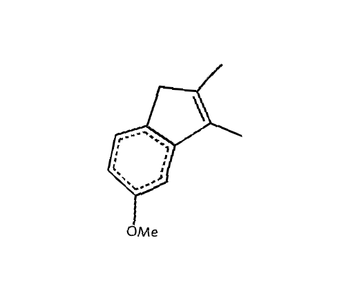 COc1ccc2c(c1)C(C)=C(C)C2